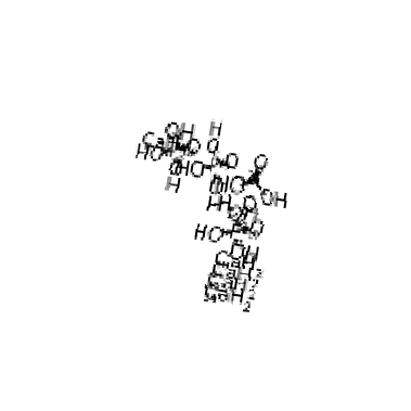 O.O=C(O)O.O=P(O)(O)O.O=P(O)(O)O.O=P(O)(O)O.[CaH2].[CaH2].[CaH2].[CaH2].[CaH2]